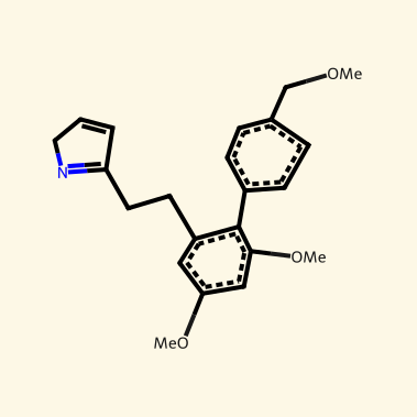 COCc1ccc(-c2c(CCC3=NCC=C3)cc(OC)cc2OC)cc1